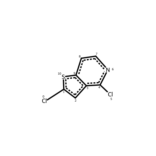 Clc1cc2c(Cl)nccc2s1